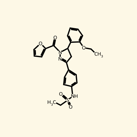 CCOc1ccccc1C1CC(c2ccc(NS(=O)(=O)CC)cc2)=NN1C(=O)c1ccco1